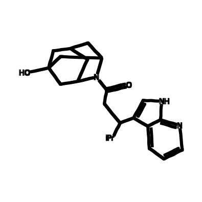 CC(C)C(CC(=O)N1C2CC3CC1CC(O)(C3)C2)c1c[nH]c2ncccc12